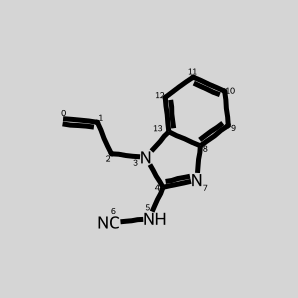 C=CCn1c(NC#N)nc2ccccc21